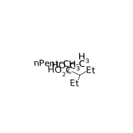 CC(=O)O.CCC(CC)C(=O)O.CCCCCC